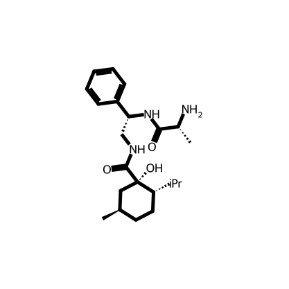 CC(C)[C@@H]1CC[C@@H](C)C[C@@]1(O)C(=O)NC[C@@H](NC(=O)[C@@H](C)N)c1ccccc1